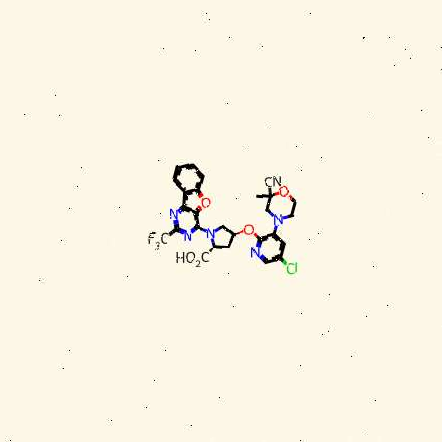 CC1(C#N)CN(c2cc(Cl)cnc2O[C@H]2C[C@@H](C(=O)O)N(c3nc(C(F)(F)F)nc4c3oc3ccccc34)C2)CCO1